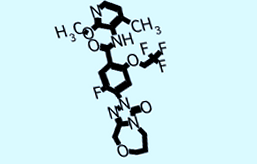 COc1nccc(C)c1NC(=O)c1cc(F)c(-n2nc3n(c2=O)CCCOC3)cc1OCC(F)(F)F